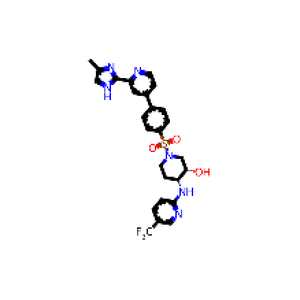 Cc1c[nH]c(-c2cc(-c3ccc(S(=O)(=O)N4CC[C@@H](Nc5ccc(C(F)(F)F)cn5)[C@@H](O)C4)cc3)ccn2)n1